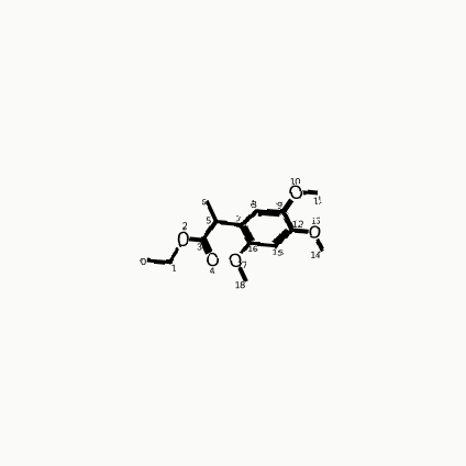 CCOC(=O)C(C)c1cc(OC)c(OC)cc1OC